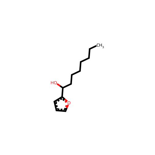 CCCCCCCC(O)c1ccco1